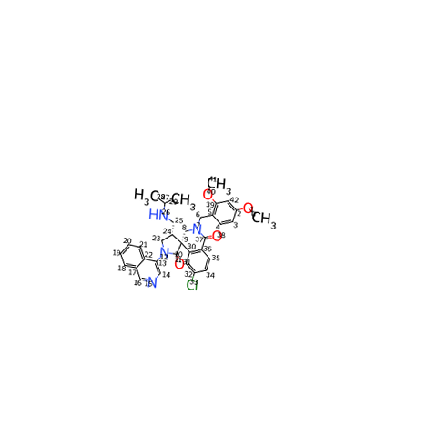 COc1ccc(CN2C[C@@]3(C(=O)N(c4cncc5ccccc45)C[C@@H]3CNC(C)C)c3cc(Cl)ccc3C2=O)c(OC)c1